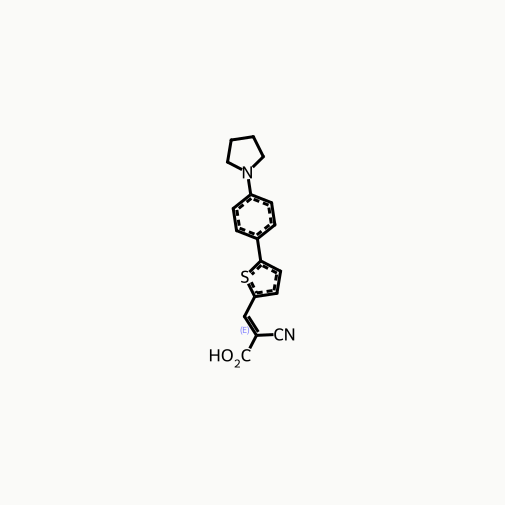 N#C/C(=C\c1ccc(-c2ccc(N3CCCC3)cc2)s1)C(=O)O